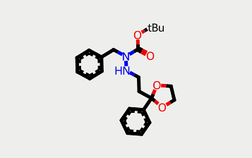 CC(C)(C)OC(=O)N(Cc1ccccc1)NCCC1(c2ccccc2)OCCO1